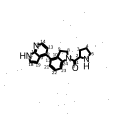 O=C(C1CCCN1)N1CCc2c(-c3ccnc4[nH]ccc34)cccc21